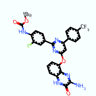 CC(C)(C)OC(=O)Nc1ccc(-c2nc(Oc3cccc4[nH]c(=O)c(N)nc34)cc(-c3ccc(C(F)(F)F)cc3)n2)cc1F